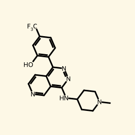 CN1CCC(Nc2nnc(-c3ccc(C(F)(F)F)cc3O)c3ccncc23)CC1